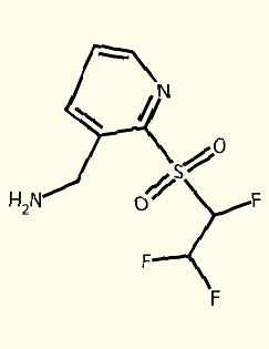 NCc1cccnc1S(=O)(=O)C(F)C(F)F